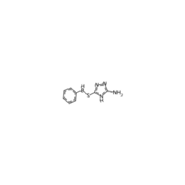 Nc1nnc(SBc2ccccc2)[nH]1